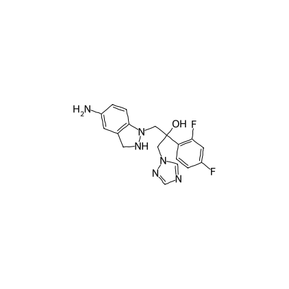 Nc1ccc2c(c1)CNN2CC(O)(Cn1cncn1)c1ccc(F)cc1F